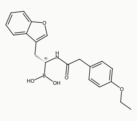 CCOc1ccc(CC(=O)N[C@@H](Cc2coc3ccccc23)B(O)O)cc1